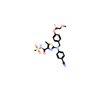 COC[C@@H](C)Oc1ccc(CN(c2ccc(C#N)cc2)c2nc(C(=O)NS(C)(=O)=O)c(C)s2)cc1